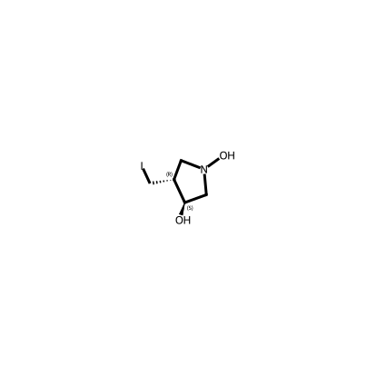 O[C@@H]1CN(O)C[C@H]1CI